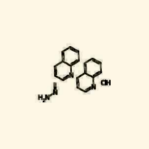 C=NN.Cl.c1ccc2ncccc2c1.c1ccc2ncccc2c1